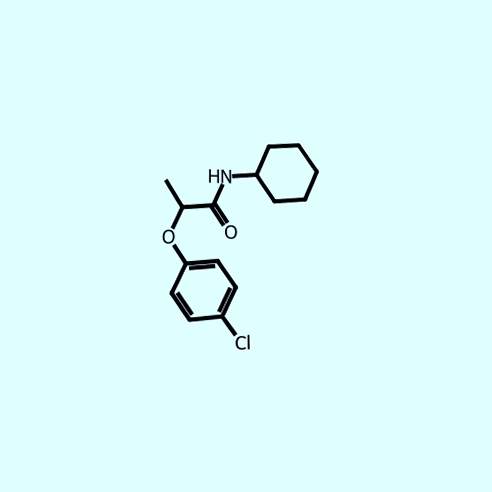 CC(Oc1ccc(Cl)cc1)C(=O)NC1CCCCC1